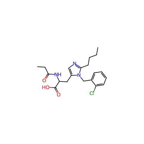 CCCCc1ncc(CC(NC(=O)CC)C(=O)O)n1Cc1ccccc1Cl